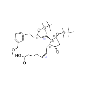 COCc1cccc(CC[C@@H](/C=C/[C@H]2[C@H](O[Si](C)(C)C(C)(C)C)CC(=O)[C@@H]2C/C=C\CCCC(=O)O)O[Si](C)(C)C(C)(C)C)c1